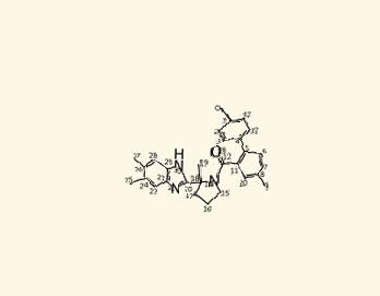 Cc1ccc(-c2ccc(C)cc2C(=O)N2CCCC2(C)c2nc3cc(C)c(C)cc3[nH]2)cc1